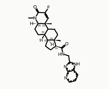 CN1C(=O)C(F)=C[C@]2(C)C3CC[C@]4(C)[C@@H](C(=O)NCc5nc6ncccc6[nH]5)CC[C@H]4[C@@H]3CC[C@@H]12